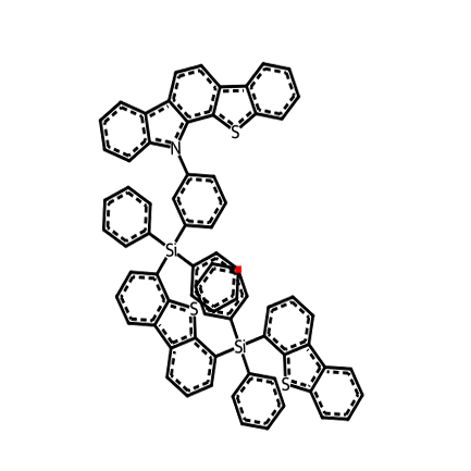 c1ccc([Si](c2ccccc2)(c2cccc(-n3c4ccccc4c4ccc5c6ccccc6sc5c43)c2)c2cccc3c2sc2c([Si](c4ccccc4)(c4ccccc4)c4cccc5c4sc4ccccc45)cccc23)cc1